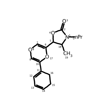 CCCN1C(=O)OC(C2=COC=C(C3=CC=CCC3)O2)C1C